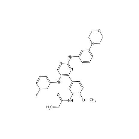 C=CC(=O)Nc1cc(-c2nc(Nc3cccc(N4CCOCC4)c3)ncc2Nc2cccc(F)c2)ccc1OC